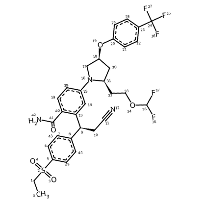 CCS(=O)(=O)c1ccc([C@H](CC#N)c2cc(N3C[C@@H](Oc4ccc(C(F)(F)F)cc4)C[C@H]3CCOC(F)F)ccc2C(N)=O)cc1